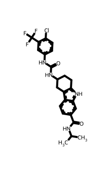 CC(C)NC(=O)c1ccc2c3c([nH]c2c1)CCC(NC(=O)Nc1ccc(Cl)c(C(F)(F)F)c1)C3